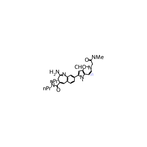 CCCN(CCC)C(=O)C1=Cc2ccc(-c3cc(C=O)c(/C=C\N(C)CC(=O)NC)n3C)cc2N=C(N)C1